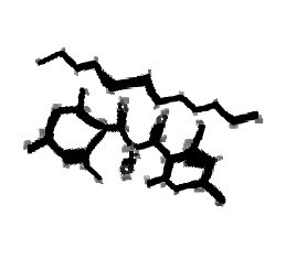 CCCCCCCCCCCC.Cc1cc(C)c(C(=O)[PH](=O)C(=O)c2c(C)cc(C)cc2C)c(C)c1